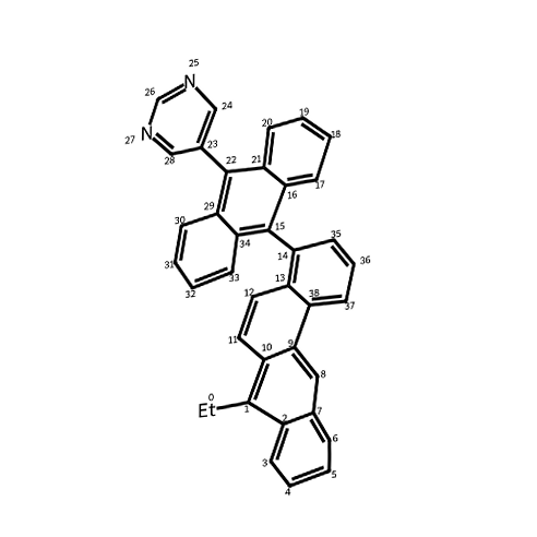 CCc1c2ccccc2cc2c1ccc1c(-c3c4ccccc4c(-c4cncnc4)c4ccccc34)cccc12